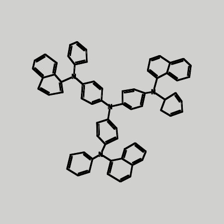 C1=CCC(N(c2ccc(N(c3ccc(N(c4ccccc4)c4cccc5ccccc45)cc3)c3ccc(N(c4ccccc4)c4cccc5ccccc45)cc3)cc2)c2cccc3ccccc23)C=C1